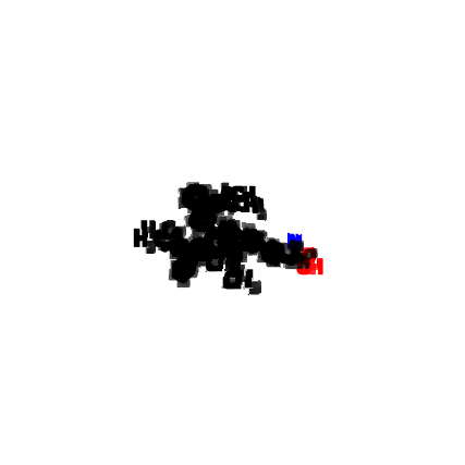 CCCCC1(CCCC)c2ccccc2-c2ccc(C(c3ccc4c(c3)C(CCCC)(CCCC)c3ccccc3-4)c3ccc4c(c3)C(CCCC)(CCCC)c3cc(-c5ccc(/C=C(\C#N)C(=O)O)cc5)ccc3-4)cc21